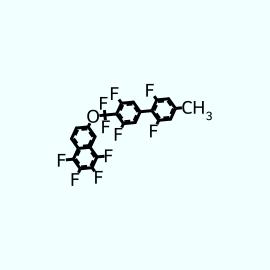 Cc1cc(F)c(-c2cc(F)c(C(F)(F)Oc3ccc4c(F)c(F)c(F)c(F)c4c3)c(F)c2)c(F)c1